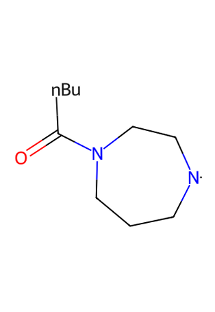 CCCCC(=O)N1CCC[N]CC1